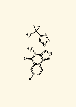 Cn1c(=O)c2cc(F)ccc2n2cnc(-n3cc(C4(C)CC4)nn3)c12